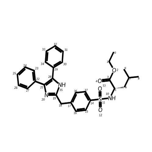 CCOC(=O)[C@H](CC(C)C)NS(=O)(=O)c1ccc(Cc2nc(-c3ccccc3)c(-c3ccccc3)[nH]2)cc1